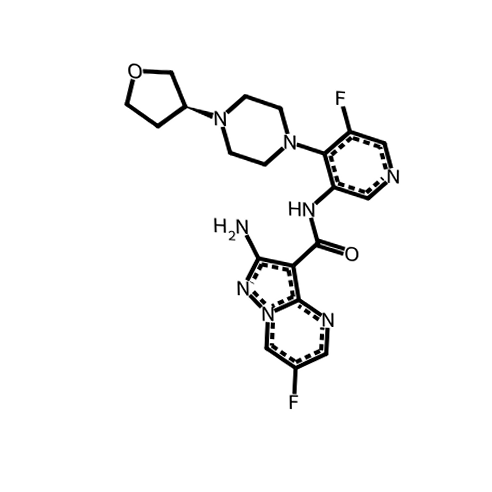 Nc1nn2cc(F)cnc2c1C(=O)Nc1cncc(F)c1N1CCN([C@H]2CCOC2)CC1